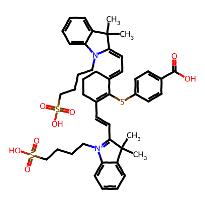 CC1(C)C(/C=C/C2=C(Sc3ccc(C(=O)O)cc3)C(=C/C=C3\N(CCCCS(=O)(=O)O)c4ccccc4C3(C)C)/CCC2)=[N+](CCCCS(=O)(=O)O)c2ccccc21